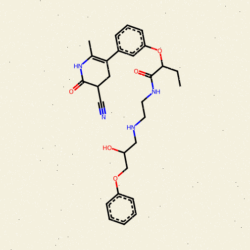 CCC(Oc1cccc(C2=C(C)NC(=O)C(C#N)C2)c1)C(=O)NCCNCC(O)COc1ccccc1